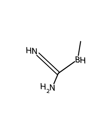 CBC(=N)N